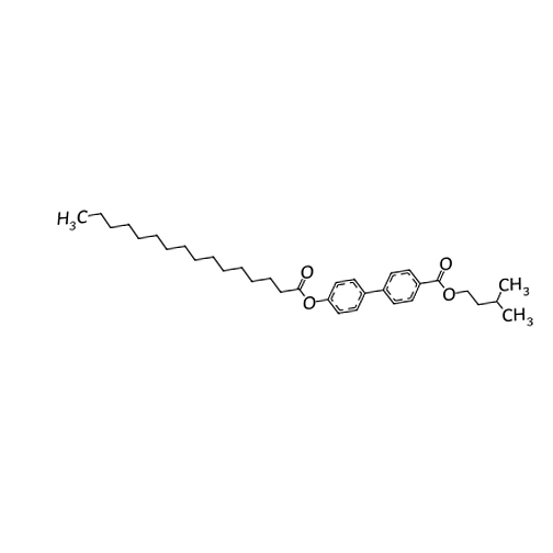 CCCCCCCCCCCCCCCC(=O)Oc1ccc(-c2ccc(C(=O)OCCC(C)C)cc2)cc1